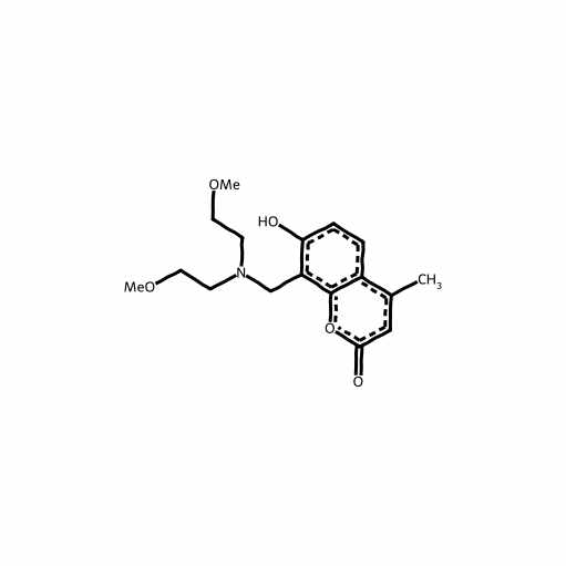 COCCN(CCOC)Cc1c(O)ccc2c(C)cc(=O)oc12